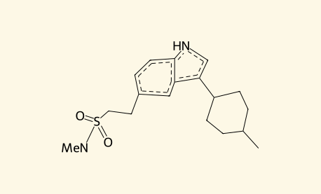 CNS(=O)(=O)CCc1ccc2[nH]cc(C3CCC(C)CC3)c2c1